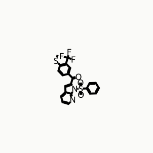 CSc1ccc(C(=O)c2cc3cccnc3n2S(=O)(=O)c2ccccc2)cc1C(F)(F)F